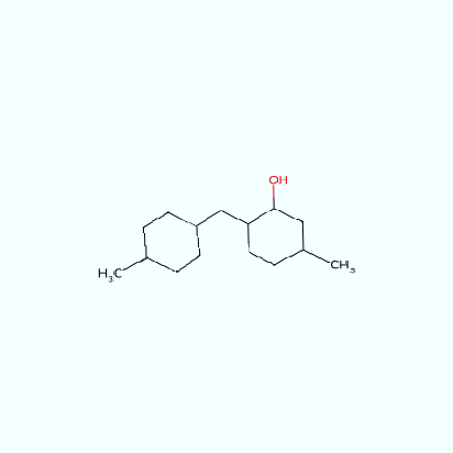 CC1CCC(CC2CCC(C)CC2O)CC1